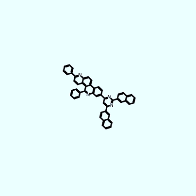 c1ccc(-c2ccc3c(ccc4c5ccc(-c6cc(-c7ccc8ccccc8c7)nc(-c7ccc8ccccc8c7)n6)cc5nc(-c5ccccc5)c34)n2)cc1